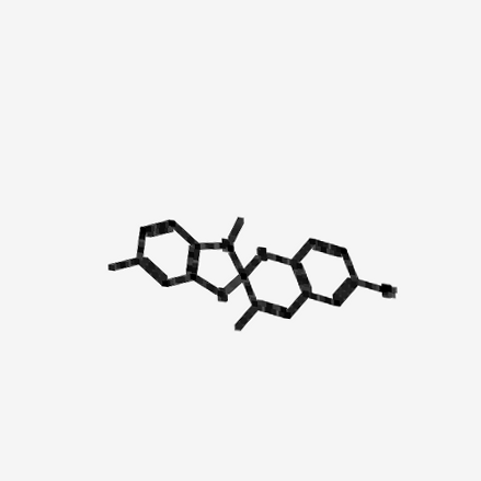 CC1=Cc2cc(Br)ccc2SC12Sc1cc(C)ccc1N2C